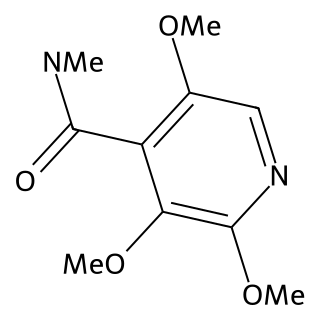 CNC(=O)c1c(OC)cnc(OC)c1OC